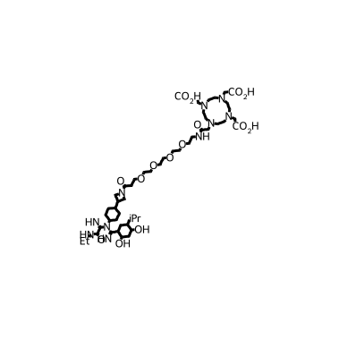 CCNC(=O)C(=N)N(C(=N)C1CC(C(C)C)C(O)CC1O)C1CCC(C2CN(C(=O)CCOCCOCCOCCOCCNC(=O)CN3CCN(CC(=O)O)CCN(CC(=O)O)CCN(CC(=O)O)CC3)C2)CC1